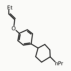 CCC=COc1ccc(C2CCC(CCC)CC2)cc1